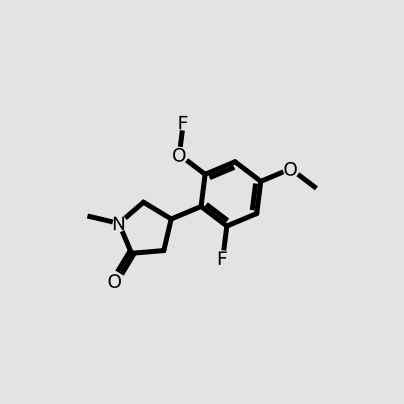 COc1cc(F)c(C2CC(=O)N(C)C2)c(OF)c1